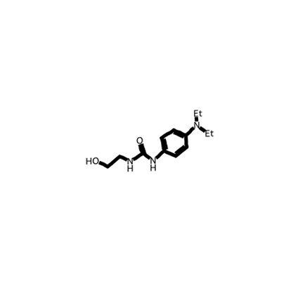 CCN(CC)c1ccc(NC(=O)NCCO)cc1